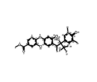 COC(=O)c1cnc(Oc2ccc(C(C)C(O)(c3cc(C)c(=O)n(C)c3)C(F)(F)F)c(Cl)c2)c(Cl)c1